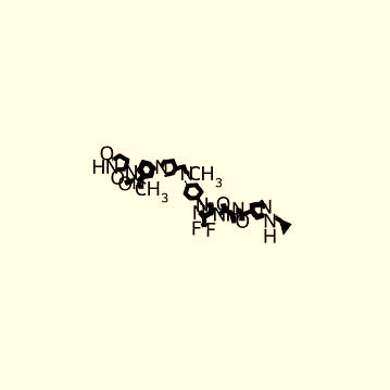 CN(CC1CCN(c2ccc3c(c2)n(C)c(=O)n3C2CCC(=O)NC2=O)CC1)C[C@H]1CC[C@H](n2cc(NC(=O)c3coc(-c4ccnc(NCC5CC5)c4)n3)c(C(F)F)n2)CC1